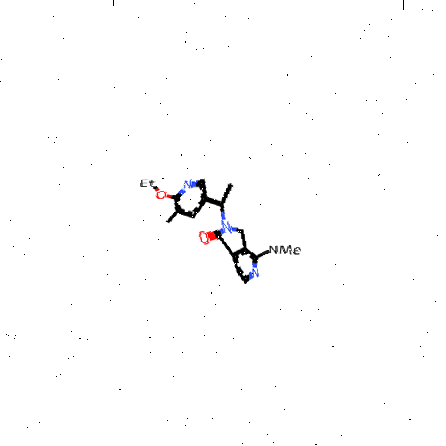 CCOc1ncc(C(C)N2Cc3c(ccnc3NC)C2=O)cc1C